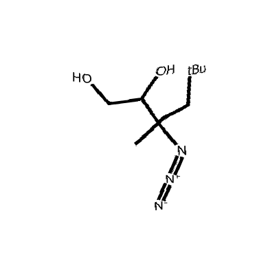 CC(C)(C)CC(C)(N=[N+]=[N-])C(O)CO